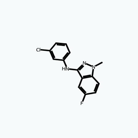 Cn1nc(Nc2cccc(Cl)c2)c2cc(F)ccc21